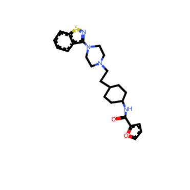 O=C(NC1CCC(CCN2CCN(c3nsc4ccccc34)CC2)CC1)c1ccco1